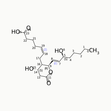 CCCCC[C@H](O)/C=C/[C@H]1OC(=O)C[C@H](O)C1C/C=C\CCCC(=O)O